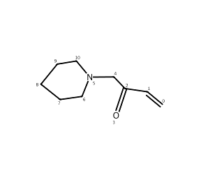 C=CC(=O)CN1CCCCC1